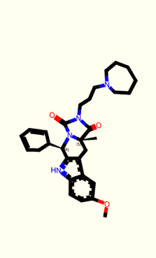 COc1ccc2[nH]c3c(c2c1)C[C@@]1(C)C(=O)N(CCCN2CCCCCC2)C(=O)N1[C@@H]3C1C=CC=CC1